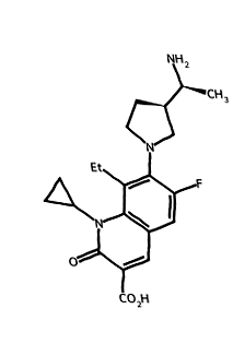 CCc1c(N2CC[C@@H]([C@H](C)N)C2)c(F)cc2cc(C(=O)O)c(=O)n(C3CC3)c12